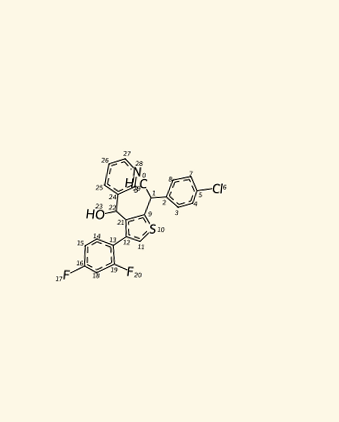 CC(c1ccc(Cl)cc1)c1scc(-c2ccc(F)cc2F)c1C(O)c1cccnc1